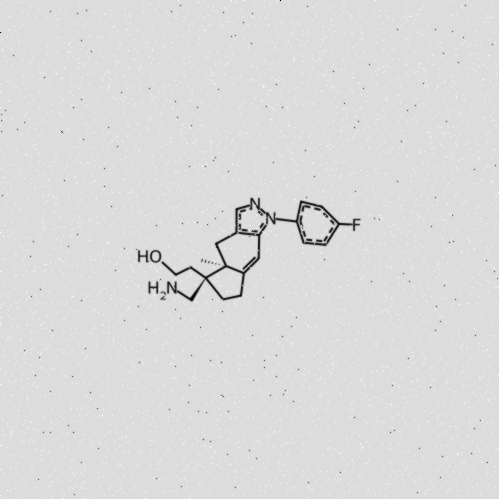 C[C@]12Cc3cnn(-c4ccc(F)cc4)c3C=C1CC[C@]2(CN)CCO